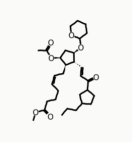 CCCC1CCC(C(=O)/C=C/[C@@H]2[C@@H](C/C=C\CCCC(=O)OC)[C@@H](OC(C)=O)C[C@H]2OC2CCCCO2)C1